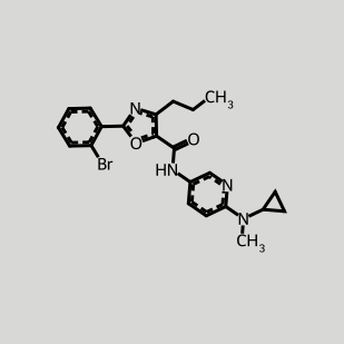 CCCc1nc(-c2ccccc2Br)oc1C(=O)Nc1ccc(N(C)C2CC2)nc1